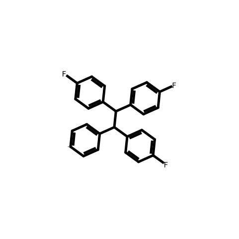 Fc1ccc(C(c2cc[c]cc2)C(c2ccc(F)cc2)c2ccc(F)cc2)cc1